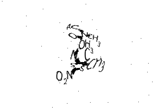 CC(=O)N(C)C(=O)ON=C1SC(=C[N+](=O)[O-])SC1(C)C